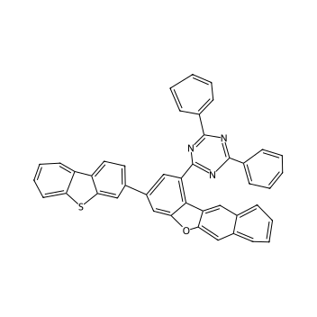 c1ccc(-c2nc(-c3ccccc3)nc(-c3cc(-c4ccc5c(c4)sc4ccccc45)cc4oc5cc6ccccc6cc5c34)n2)cc1